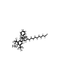 CCCCCCCCCCCCN(c1cc(C(C)(C)C)c(O)c(C(C)(C)C)c1)S(=O)(=O)c1ccccc1